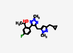 C[C@@H](O)c1cc(F)ccc1-c1nn(C)nc1Cc1cc(CC2CC2)nn1C